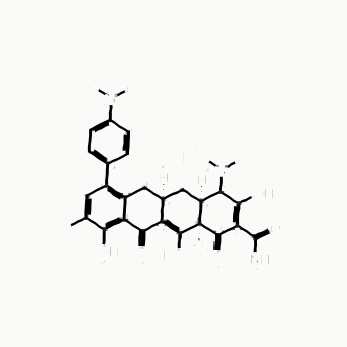 CCc1cc(-c2ccc(N(C)C)cc2)c2c(c1O)C(=O)C1=C(O)[C@]3(O)C(=O)C(C(N)=O)=C(O)C(N(C)C)[C@@H]3C[C@@H]1C2